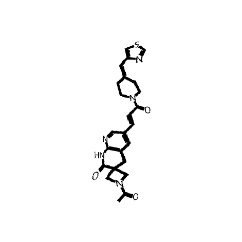 CC(=O)N1CC2(Cc3cc(/C=C/C(=O)N4CCC(=Cc5cscn5)CC4)cnc3NC2=O)C1